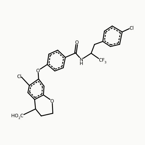 O=C(NC(Cc1ccc(Cl)cc1)C(F)(F)F)c1ccc(Oc2cc3c(cc2Cl)C(C(=O)O)CCO3)cc1